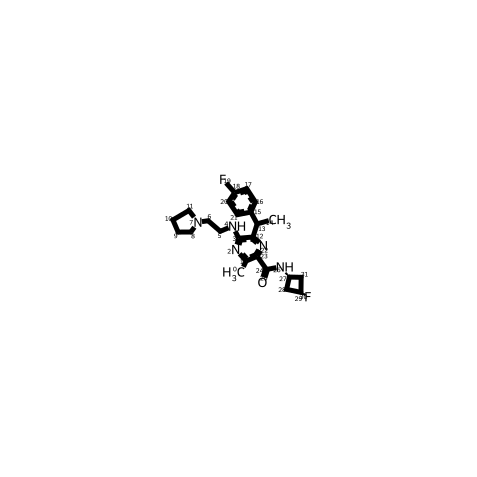 Cc1nc(NCCN2CCCC2)c(C(C)c2ccc(F)cc2)nc1C(=O)N[C@H]1C[C@@H](F)C1